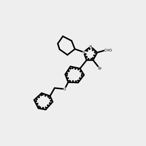 O=Cc1nn(C2CCCCC2)c(-c2ccc(OCc3ccccc3)cc2)c1Br